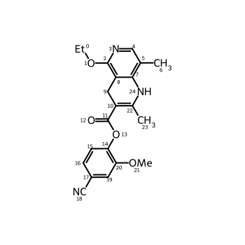 CCOc1ncc(C)c2c1CC(C(=O)Oc1ccc(C#N)cc1OC)=C(C)N2